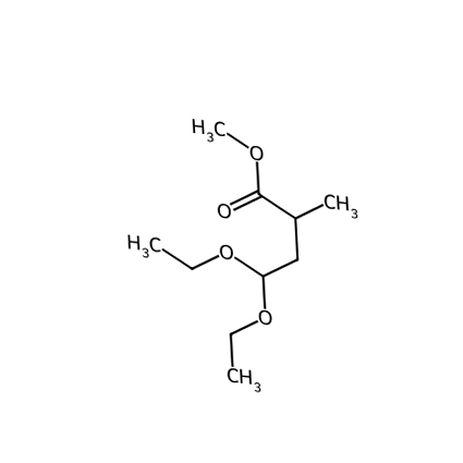 CCOC(CC(C)C(=O)OC)OCC